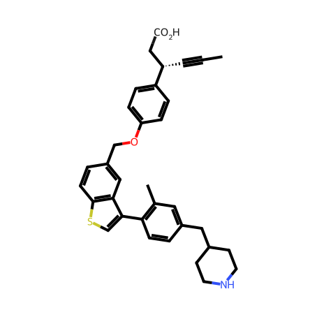 CC#C[C@@H](CC(=O)O)c1ccc(OCc2ccc3scc(-c4ccc(CC5CCNCC5)cc4C)c3c2)cc1